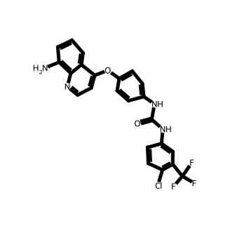 Nc1cccc2c(Oc3ccc(NC(=O)Nc4ccc(Cl)c(C(F)(F)F)c4)cc3)ccnc12